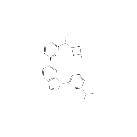 CO[C@]1(O)C[C@@H]([C@H](N)c2cccc(-c3ccc4cnn(-c5cccc(C(F)F)n5)c4c3)n2)C1